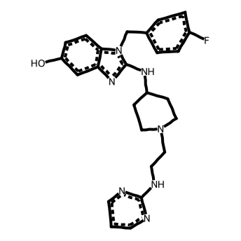 Oc1ccc2c(c1)nc(NC1CCN(CCNc3ncccn3)CC1)n2Cc1ccc(F)cc1